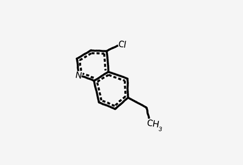 CCc1ccc2nccc(Cl)c2c1